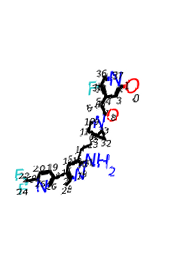 COc1cc([C@@H](C)C(=O)N2CC[C@]3(CCc4cc(-c5ccc(C(F)F)nc5)c(C)nc4N)CC23)c(F)cn1